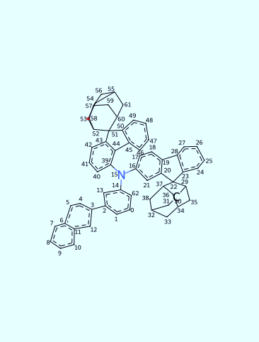 c1cc(-c2ccc3ccccc3c2)cc(N(c2ccc3c(c2)C2(c4ccccc4-3)C3CCC4CC(C3)CC2C4)c2cccc3c2-c2ccccc2C32C3CCC4CC(C3)CC2C4)c1